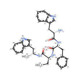 N[C@@H](Cc1c[nH]c2ccccc12)C(=O)N[C@@H](Cc1ccccc1)C(=O)N[C@@H](CC(=O)O)C(=O)N[C@@H](Cc1c[nH]c2ccccc12)C(=O)O